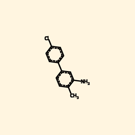 Cc1ccc(-c2ccc(Cl)cc2)cc1N